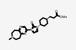 COC(=O)CC[C@H]1CC[C@H](n2ccn(-c3cnc4c(n3)CCN(C)CC4)c2=O)CC1